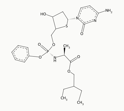 CCC(CC)COC(=O)[C@H](C)N[P@](=O)(OCC1S[C@@H](n2ccc(N)nc2=O)CC1O)Oc1ccccc1